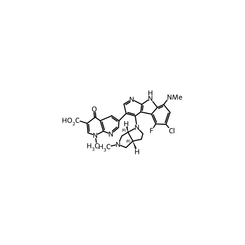 CNc1cc(Cl)c(F)c2c1[nH]c1ncc(-c3cnc4c(c3)c(=O)c(C(=O)O)cn4C)c(N3CC[C@@H]4CN(C)C[C@@H]43)c12